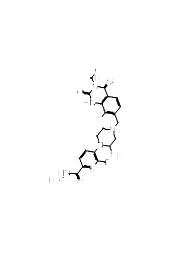 CCn1c(=O)[nH]c2c(F)c(CN3CCN(c4ccc(C(=O)NC)nc4F)C(C)C3)ccc2c1=O